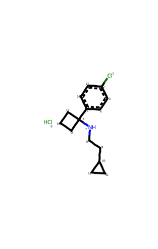 Cl.Clc1ccc(C2(NCCC3CC3)CCC2)cc1